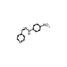 O=[N+]([O-])c1ccc(N/N=C\c2ccncc2)cc1